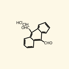 Cl.Cl.O=Cc1c2ccccc2c(C=O)c2ccccc12